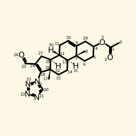 CC(=O)OC1CC[C@@]2(C)C(=CC[C@@H]3[C@@H]2CC[C@]2(C)C(n4cnnn4)=C(C=O)C[C@@H]32)C1